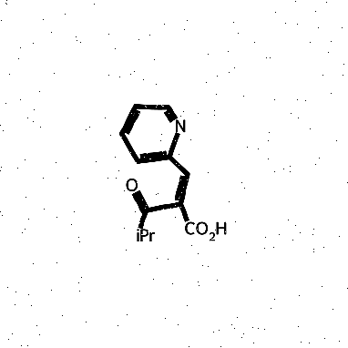 CC(C)C(=O)C(=Cc1ccccn1)C(=O)O